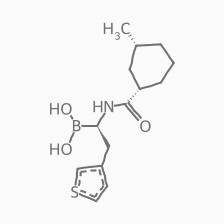 C[C@@H]1CCC[C@H](C(=O)N[C@@H](Cc2ccsc2)B(O)O)C1